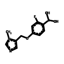 Cn1cncc1COc1ccc(B(O)O)c(F)c1